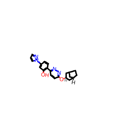 Oc1cc(-n2cccn2)ccc1-c1ccc(O[C@H]2CC3CC[C@@H](C3)C2)nn1